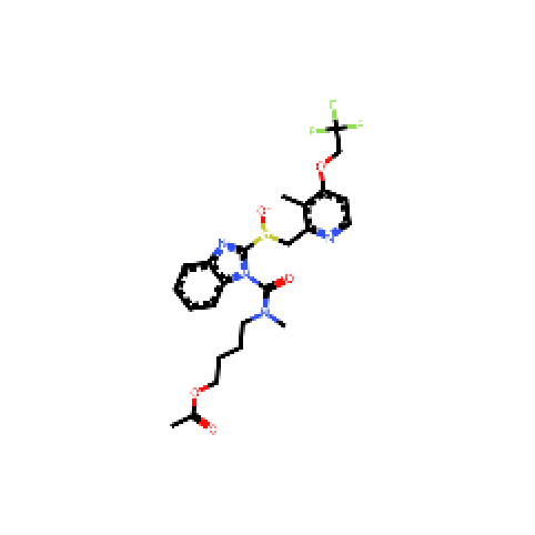 CC(=O)OCCCCN(C)C(=O)n1c([S+]([O-])Cc2nccc(OCC(F)(F)F)c2C)nc2ccccc21